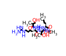 CCCC[C@H](N[C@@H](O)[C@@H](NC(=O)[C@H](CCCCNC(=N)N)NC(=O)[C@@H](C)CO)C(C)O)C(=O)NC